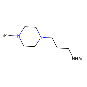 CC(=O)NCCCN1CCN(C(C)C)CC1